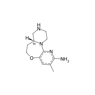 Cc1cc2c(nc1N)N1CCNC[C@H]1CCO2